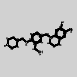 CCc1cc2c(cc1F)N(Sc1ccc(OCC3CCOCC3)c(CO)c1)CCC2